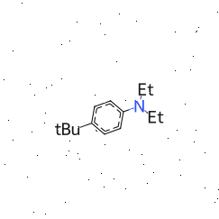 CCN(CC)c1ccc(C(C)(C)C)cc1